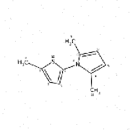 Cc1ccc(-n2c(C)ccc2C)s1